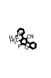 Cc1c(-c2cccc[n+]2C)c(C#N)c2c(oc3ccccc32)c1F